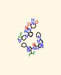 CN(C[C@H]1CC[C@H](n2cc(NC(=O)c3cnn4ccc(N5CCCCC5)nc34)c(C(F)F)n2)CC1)C1CCN(c2cccc3c2n(C)c(=O)n3C2CCC(=O)NC2=O)CC1(F)F